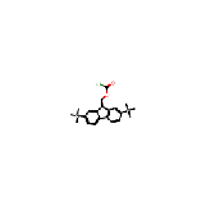 C[Si](C)(C)c1ccc2c(c1)C(COC(=O)Cl)c1cc([Si](C)(C)C)ccc1-2